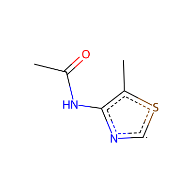 CC(=O)Nc1n[c]sc1C